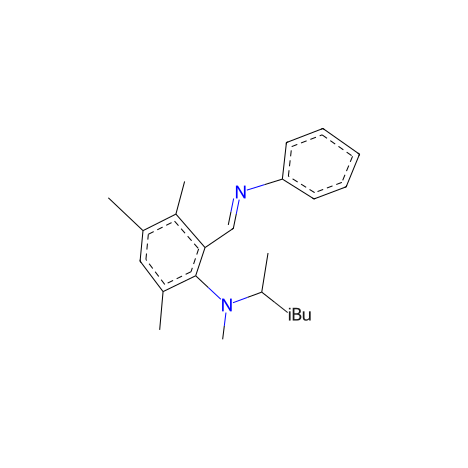 CCC(C)C(C)N(C)c1c(C)cc(C)c(C)c1/C=N/c1ccccc1